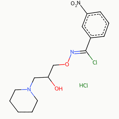 Cl.O=[N+]([O-])c1cccc(C(Cl)=NOCC(O)CN2CCCCC2)c1